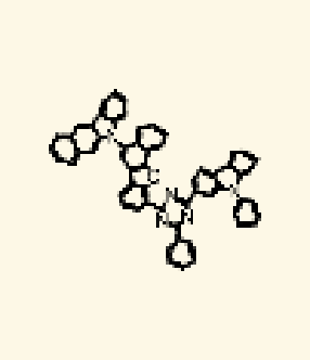 c1ccc(-c2nc(-c3ccc4c5ccccc5n(-c5ccccc5)c4c3)nc(-c3cccc4c3oc3c5ccccc5c(-n5c6ccccc6c6cc7ccccc7cc65)cc43)n2)cc1